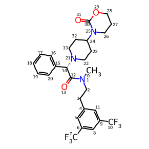 CN(CCc1cc(C(F)(F)F)cc(C(F)(F)F)c1)C(=O)[C@H](c1ccccc1)N1CCC(N2CCCOC2=O)CC1